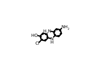 Nc1ccc(Nc2ccc(O)c(Cl)c2)c(N)c1